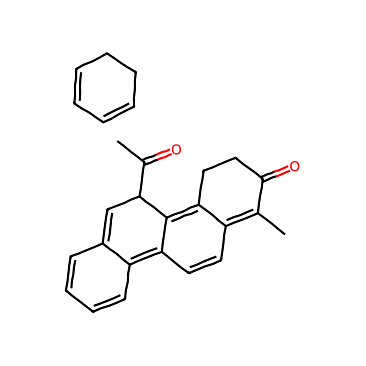 C1=CCCC=C1.CC(=O)C1C=c2ccccc2=c2ccc3c(c21)CCC(=O)C=3C